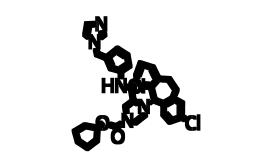 O=C(Nc1cccc(Cn2ccnc2)c1)C1CN(C(=O)OC2CCCCC2)CCN1[C@@H]1c2ccc(Cl)cc2CCc2cccnc21